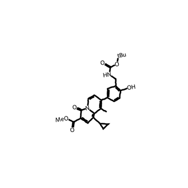 COC(=O)c1cc(C2CC2)c2c(C)c(-c3ccc(O)c(CNC(=O)OC(C)(C)C)c3)ccn2c1=O